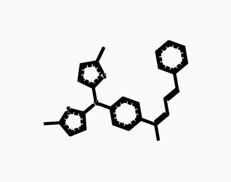 CC(=CC=Cc1ccccc1)c1ccc(N(c2ccc(C)s2)c2ccc(C)s2)cc1